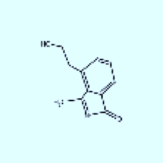 CC1=NC(=O)c2cccc(CCO)c21